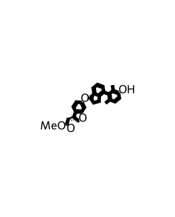 COC(=O)C[C@@H]1COc2cc(O[C@@H]3CCc4c(-c5c(C)ccc(O)c5C)cccc43)ccc21